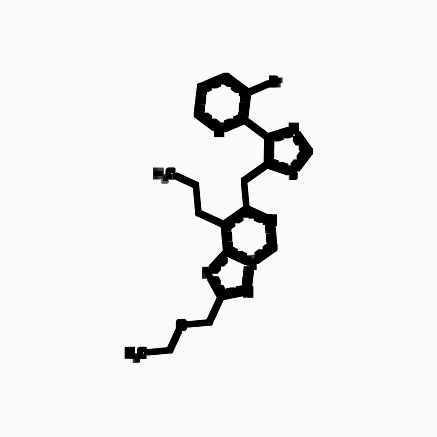 CCCc1c(Cc2scnc2-c2ncccc2Br)ncn2nc(COCC)nc12